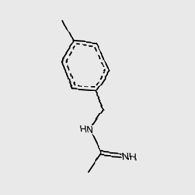 CC(=N)NCc1ccc(C)cc1